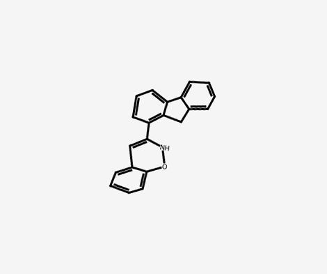 C1=C(c2cccc3c2Cc2ccccc2-3)NOc2ccccc21